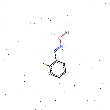 CCO/N=C/c1cc[c]cc1F